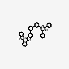 c1ccc(C2=NC(c3cccc(-c4cccc(-c5ccc6oc7c(c6c5)N5c6ccccc6NC5c5ccccc5-7)c4)c3)=NC(c3ccccc3)N2)cc1